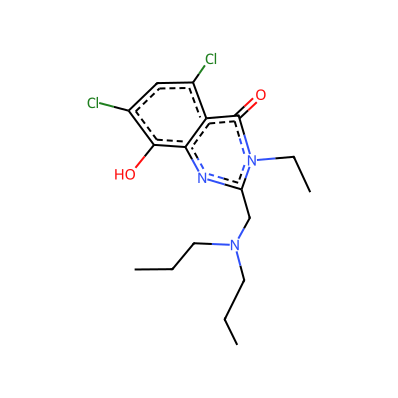 CCCN(CCC)Cc1nc2c(O)c(Cl)cc(Cl)c2c(=O)n1CC